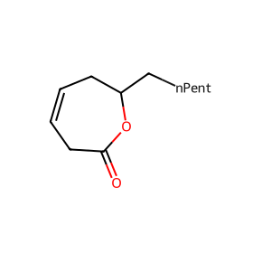 CCCCCCC1CC=CCC(=O)O1